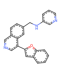 c1cncc(NCc2ccc3cncc(-c4cc5ccccc5o4)c3c2)c1